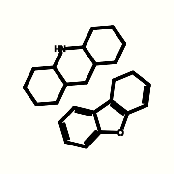 C1=Cc2oc3ccccc3c2CC1.C1CCC2NC3CCCCC3CC2C1